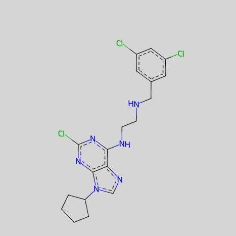 Clc1cc(Cl)cc(CNCCNc2nc(Cl)nc3c2ncn3C2CCCC2)c1